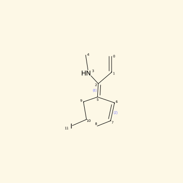 C=C/C(NC)=C(\C=C/C)CCI